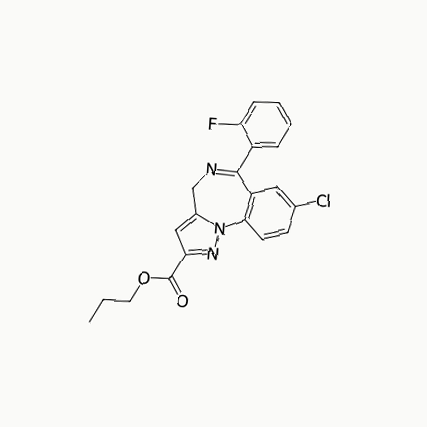 CCCOC(=O)c1cc2n(n1)-c1ccc(Cl)cc1C(c1ccccc1F)=NC2